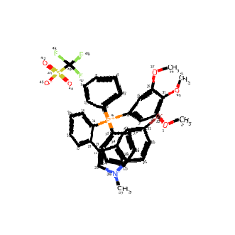 COc1cc([P+](c2ccccc2)(c2ccccc2)c2ccccc2-c2cn(C)c3ccc(Br)cc23)cc(OC)c1OC.O=S(=O)([O-])C(F)(F)F